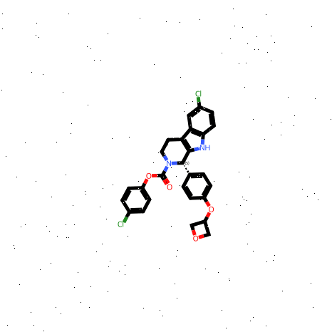 O=C(Oc1ccc(Cl)cc1)N1CCc2c([nH]c3ccc(Cl)cc23)[C@@H]1c1ccc(OC2COC2)cc1